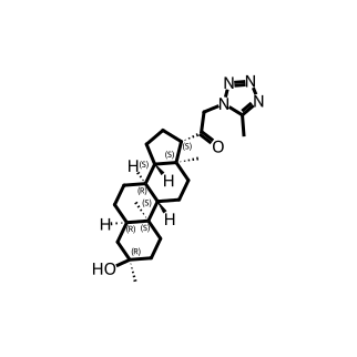 Cc1nnnn1CC(=O)[C@H]1CC[C@H]2[C@@H]3CC[C@@H]4C[C@](C)(O)CC[C@]4(C)[C@H]3CC[C@]12C